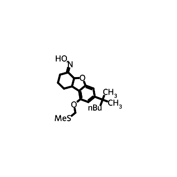 CCCCC(C)(C)c1cc(OCSC)c2c(c1)OC1C(=NO)CCCC21